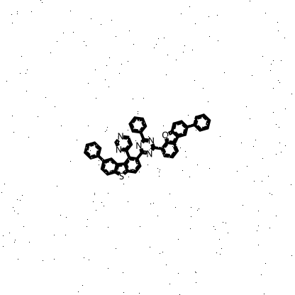 c1ccc(-c2ccc3oc4c(-c5nc(-c6ccccc6)nc(-c6ccc7sc8ccc(-c9ccccc9)cc8c7c6-c6ccncn6)n5)cccc4c3c2)cc1